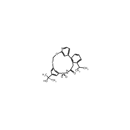 CC(C)c1cccc2c1CC(=O)NS(=O)(=O)c1cc(cc(C(C)(C)O)c1)CCOc1cc-2ccn1